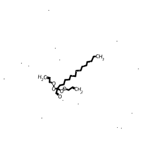 C=CCOOC(C=O)(CCCCCCCCCCCCCC)OOCC=C